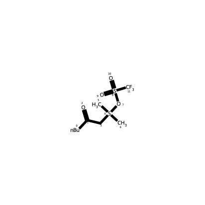 CCCCC(=O)CS(C)(C)OS(=O)(=O)C(F)(F)F